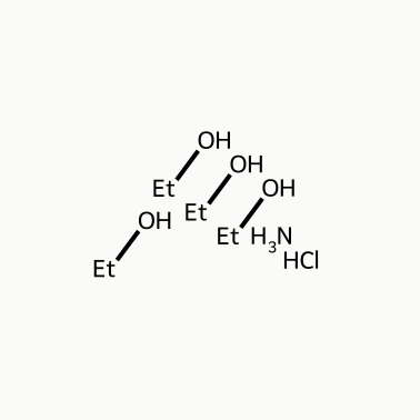 CCO.CCO.CCO.CCO.Cl.N